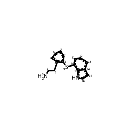 NCCc1ccccc1Sc1cccc2cc[nH]c12